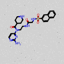 Nc1nccc(N(CCNC(=O)CNS(=O)(=O)c2ccc3ccccc3c2)C(=O)C2CCNCC2)n1